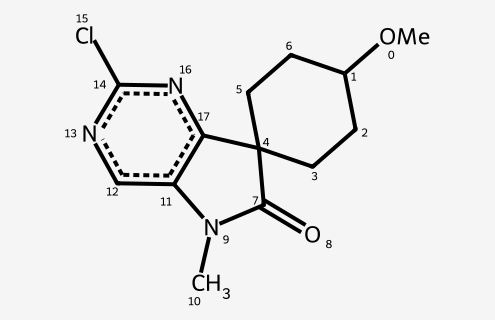 COC1CCC2(CC1)C(=O)N(C)c1cnc(Cl)nc12